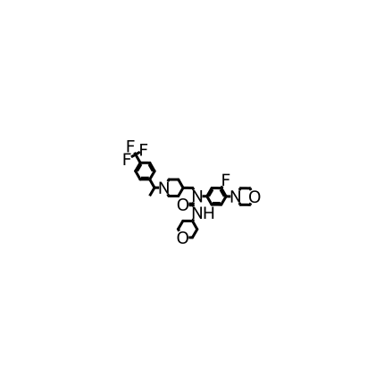 CC(c1ccc(C(F)(F)F)cc1)N1CCC(CN(C(=O)NC2CCOCC2)c2ccc(N3CCOCC3)c(F)c2)CC1